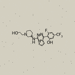 OCCN1CCC[C@@H](Nc2nnc(-c3c(O)cc(C(F)(F)F)cc3F)c3cccn23)C1